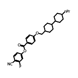 CCCC1CCC(C2CCC(COc3ccc(C(=O)Oc4ccc(C#N)c(F)c4)cc3)CC2)CC1